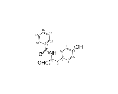 O=[C][C@H](Cc1ccc(O)cc1)NC(=O)c1ccccc1